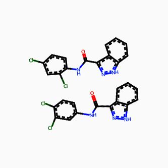 O=C(Nc1ccc(Cl)c(Cl)c1)c1n[nH]c2ccccc12.O=C(Nc1ccc(Cl)cc1Cl)c1n[nH]c2ccccc12